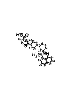 CC(NC1CCCC(c2ccc(C(=O)NC3(C(=O)O)CC3)cc2)C1)c1cccc2ccccc12